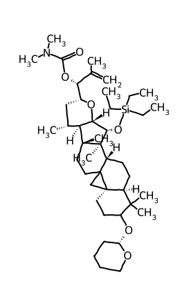 C=C(C)[C@@H](OC(=O)N(C)C)[C@H]1C[C@@H](C)[C@H]2[C@H](O1)[C@H](O[Si](CC)(CC)CC)[C@@]1(C)[C@@H]3CC[C@H]4C(C)(C)C(O[C@H]5CCCCO5)CC[C@@]45CC35CC[C@]21C